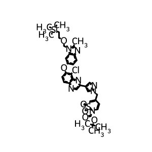 Cc1nc2ccc(Oc3ccc4ncc(-c5cnn(CC6=CS(=O)(=O)N(C(=O)OC(C)(C)C)C=C6)c5)nc4c3Cl)cc2n1COCC[Si](C)(C)C